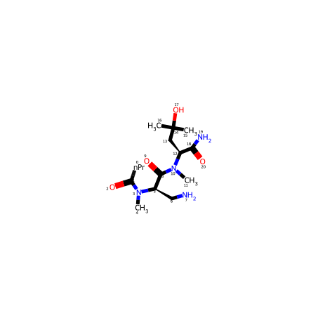 CCCC(=O)N(C)[C@H](CN)C(=O)N(C)[C@@H](CC(C)(C)O)C(N)=O